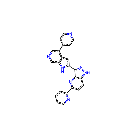 c1ccc(-c2ccc3[nH]nc(-c4cc5c(-c6ccncc6)cncc5[nH]4)c3n2)nc1